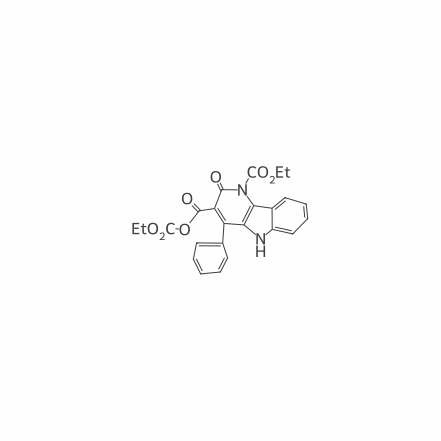 CCOC(=O)OC(=O)c1c(-c2ccccc2)c2[nH]c3ccccc3c2n(C(=O)OCC)c1=O